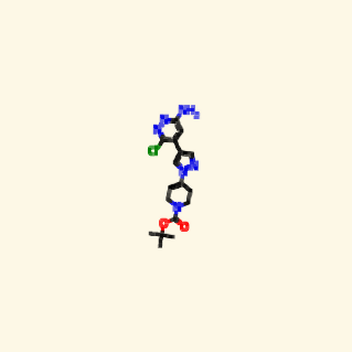 CC(C)(C)OC(=O)N1CC=C(n2cc(-c3cc(N)nnc3Cl)cn2)CC1